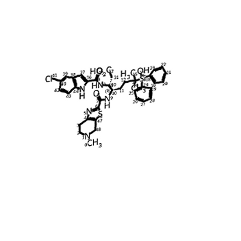 CN1CCc2nc(C(=O)N[C@H](CCC(C)(C)[Si](O)(c3ccccc3)c3ccccc3)[C@@H](CC(=O)O)NC(=O)c3cc4cc(Cl)ccc4[nH]3)sc2C1